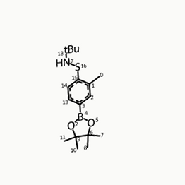 Cc1cc(B2OC(C)(C)C(C)(C)O2)ccc1SNC(C)(C)C